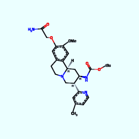 COc1cc2c(cc1OCC(N)=O)CCN1C[C@@H](c3cc(C)ccn3)[C@H](NC(=O)OC(C)(C)C)C[C@H]21